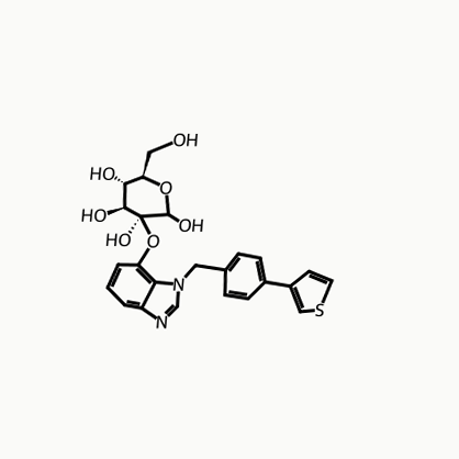 OC[C@H]1OC(O)[C@@](O)(Oc2cccc3ncn(Cc4ccc(-c5ccsc5)cc4)c23)[C@@H](O)[C@@H]1O